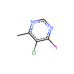 Cc1ncnc(I)c1Cl